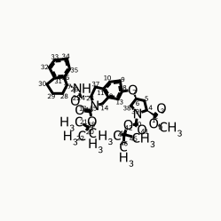 COC(=O)[C@@H]1C[C@H](Oc2ccc3c(c2)CN(C(=O)OC(C)(C)C)[C@H](C(=O)N[C@@H]2CCCc4ccccc42)C3)CN1C(=O)OC(C)(C)C